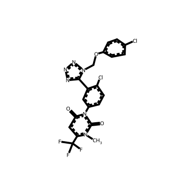 Cn1c(C(F)(F)F)cc(=O)n(-c2ccc(Cl)c(-c3nnnn3COc3ccc(Cl)cc3)c2)c1=O